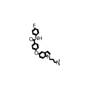 CN(C)CCCn1ccc2cc(Oc3ccc(C(=O)Nc4ccc(F)cc4)cc3)ccc21